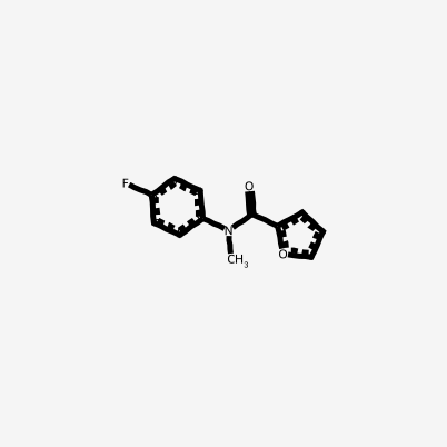 CN(C(=O)c1ccco1)c1ccc(F)cc1